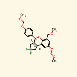 COCOc1ccc([C@H]2Oc3c(COC)cc(OCOC)cc3[C@H]3CC(F)(F)C[C@H]32)cc1